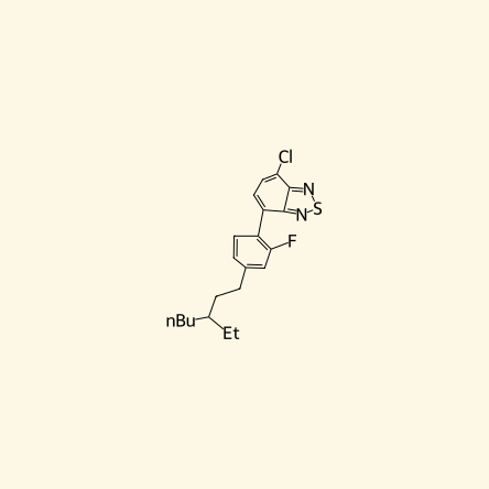 CCCCC(CC)CCc1ccc(-c2ccc(Cl)c3nsnc23)c(F)c1